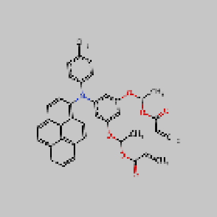 C=CC(=O)OC(C)Oc1cc(OC(C)OC(=O)C=C)cc(N(C2=C3C=CC4=C5C(=CC=C(C=C2)C35)CC=C4)c2ccc(C)cc2)c1